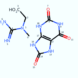 CN(CC(=O)O)C(=N)N.O=c1[nH]c(=O)c2[nH]c(=O)[nH]c2[nH]1